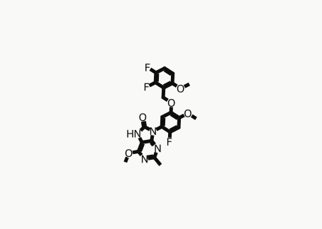 COc1cc(F)c(-n2c(=O)[nH]c3c(OC)nc(C)nc32)cc1OCc1c(OC)ccc(F)c1F